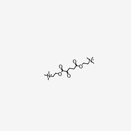 C[N+](C)(C)CCOC(=O)CCC(=O)C(=O)OCC[N+](C)(C)C